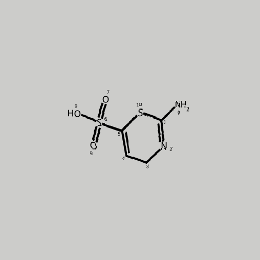 NC1=NCC=C(S(=O)(=O)O)S1